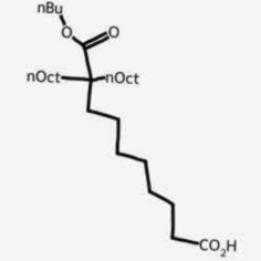 CCCCCCCCC(CCCCCCCC)(CCCCCCCC(=O)O)C(=O)OCCCC